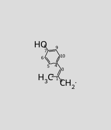 [CH2]C(C)=Cc1ccc(O)cc1